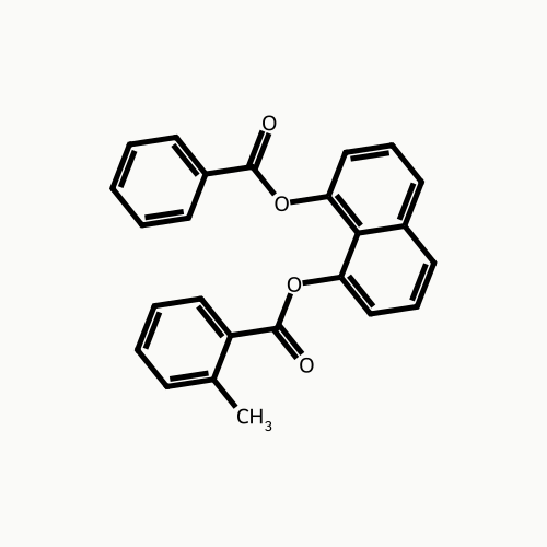 Cc1ccccc1C(=O)Oc1cccc2cccc(OC(=O)c3ccccc3)c12